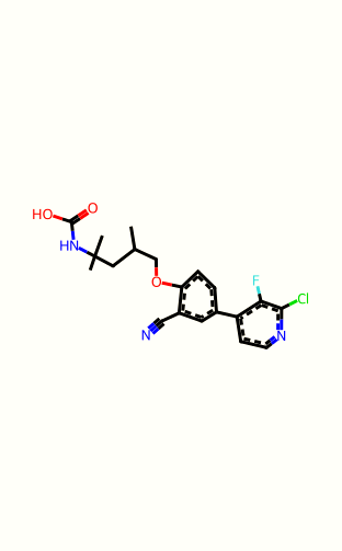 CC(COc1ccc(-c2ccnc(Cl)c2F)cc1C#N)CC(C)(C)NC(=O)O